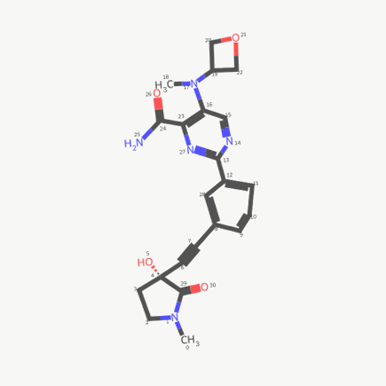 CN1CC[C@@](O)(C#Cc2cccc(-c3ncc(N(C)C4COC4)c(C(N)=O)n3)c2)C1=O